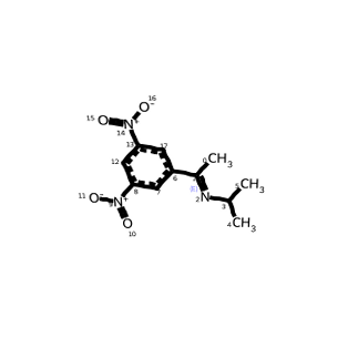 C/C(=N\C(C)C)c1cc([N+](=O)[O-])cc([N+](=O)[O-])c1